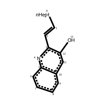 CCCCCCCC=Cc1nc2ccccc2cc1O